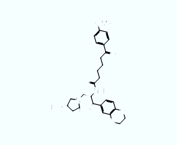 COc1ccc(C(=O)CCCCC(=O)N[C@H](CN2CC[C@H](O)C2)[C@H](O)c2ccc3c(c2)OCCO3)cc1